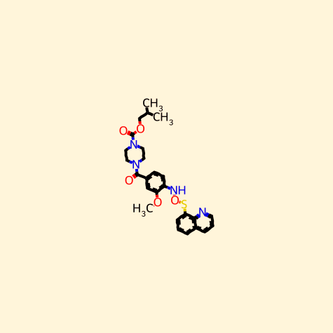 COc1cc(C(=O)N2CCN(C(=O)OCC(C)C)CC2)ccc1NOSc1cccc2cccnc12